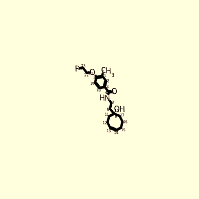 Cc1cc(C(=O)NCC[C@]2(O)CC/C=C\CCC2)ccc1OCCF